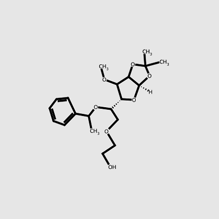 COC1C2OC(C)(C)O[C@H]2O[C@@H]1C(COCCO)OC(C)c1ccccc1